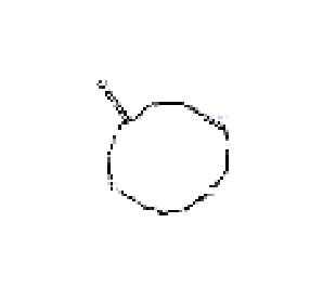 O=C1CC/C=C\CCCCCCCCC1